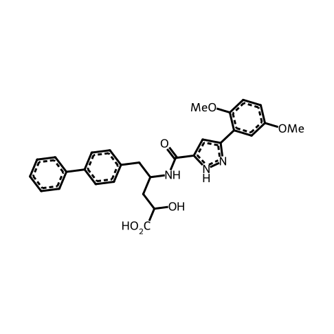 COc1ccc(OC)c(-c2cc(C(=O)NC(Cc3ccc(-c4ccccc4)cc3)CC(O)C(=O)O)[nH]n2)c1